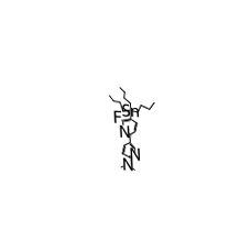 CCC[CH2][Sn]([CH2]CCC)([CH2]CCC)[c]1ccc(-c2ccc(N(C)C)nc2)nc1F